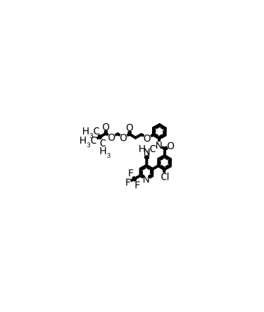 CN(C(=O)c1ccc(Cl)c(-c2cnc(C(F)(F)F)cc2C#N)c1)c1ccccc1OCCC(=O)OCOC(=O)C(C)(C)C